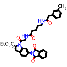 CCOC(=O)[C@@H]1Cc2ccc(N3C(=O)c4ccccc4C3=O)cc2N1C(=O)CNC(=O)CCCCNC(=O)Cc1cccc(C)c1